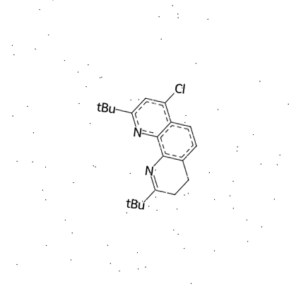 CC(C)(C)C1=Nc2c(ccc3c(Cl)cc(C(C)(C)C)nc23)CC1